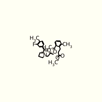 CCOC(=O)CCc1c(C)cccc1[C@@H](C)OC[C@@H](O)CN1CCC[C@H]1Cc1ccc(C)c(F)c1